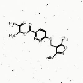 CCCCc1noc(C)c1COc1ccc(C(=O)OC(C)C(N)=O)nn1